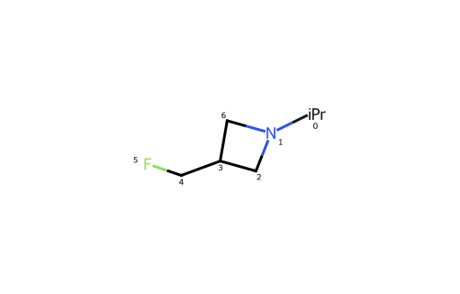 CC(C)N1CC(CF)C1